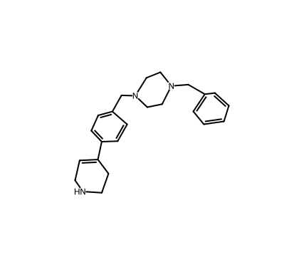 C1=C(c2ccc(CN3CCN(Cc4ccccc4)CC3)cc2)CCNC1